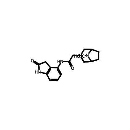 O=C1Cc2c(cccc2NC(=O)CN2CC3CCC(C2)N3C(=O)O)N1